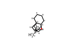 CC12OC3CCC4(CCCCC4(C3)O1)O2